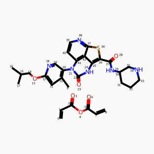 C=CC(=O)OC(=O)C=C.Cc1cc(OCC(C)C)ncc1N1C(=O)Nc2c(C(=O)NC3CCCNC3)sc3nccc1c23